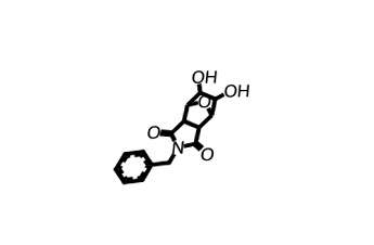 O=C1C2C3OC(C(O)C3O)C2C(=O)N1Cc1ccccc1